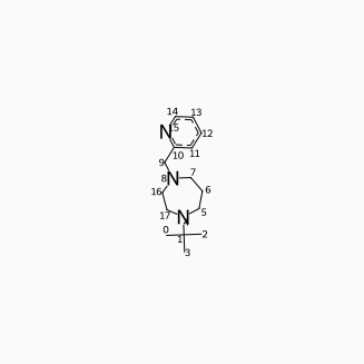 CC(C)(C)N1CCCN(Cc2ccccn2)CC1